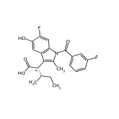 CCC(C)[C@H](C(=O)O)c1c(C)n(C(=O)c2cccc(F)c2)c2cc(F)c(O)cc12